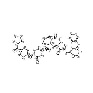 O=C(NCC1CN(Cc2ccccc2)CCO1)C1=Cc2c(ncnc2Nc2ccc(OC3CCN(C(=O)C4CCCC4)CC3)c(Cl)c2)NCC1